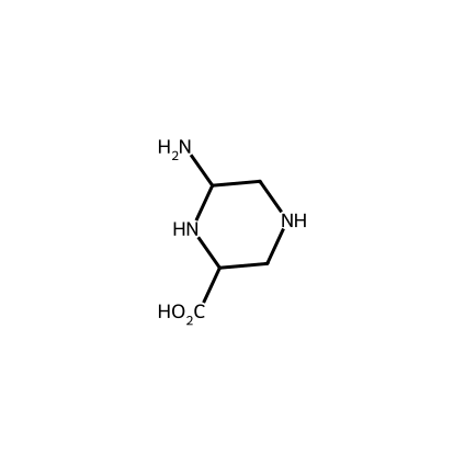 NC1CNCC(C(=O)O)N1